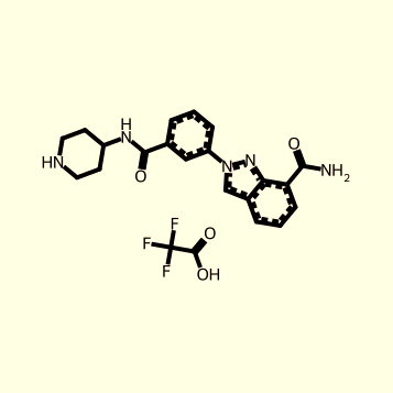 NC(=O)c1cccc2cn(-c3cccc(C(=O)NC4CCNCC4)c3)nc12.O=C(O)C(F)(F)F